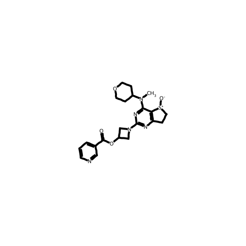 CN(c1nc(N2CC(OC(=O)c3cccnc3)C2)nc2c1[S+]([O-])CC2)C1CCOCC1